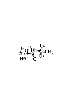 CC(C)(Br)C(=O)NS(C)(=O)=O